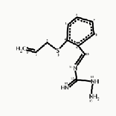 C=CCSc1ccccc1C=NC(=N)NN